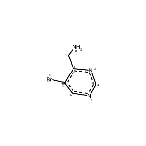 NCc1ncncc1Br